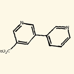 CCOC(=O)c1cncc(-c2cccnc2)c1